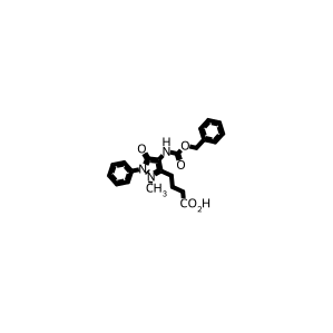 Cn1c(CCCC(=O)O)c(NC(=O)OCc2ccccc2)c(=O)n1-c1ccccc1